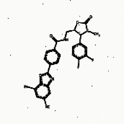 [C-]#[N+]c1cc(C(C)C)c2oc(-c3ccc(C(=O)NC[C@H]4OC(=O)N(C)C4c4ccc(F)c(F)c4)cc3)nc2c1